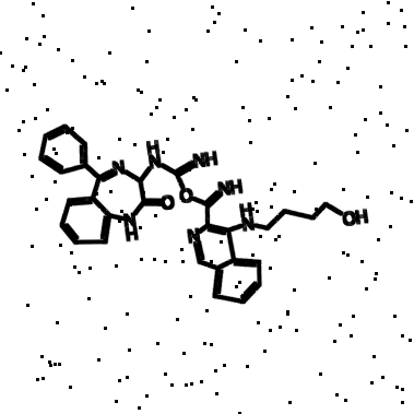 N=C(NC1N=C(c2ccccc2)c2ccccc2NC1=O)OC(=N)c1ncc2ccccc2c1NCCCCO